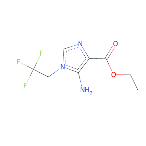 CCOC(=O)c1ncn(CC(F)(F)F)c1N